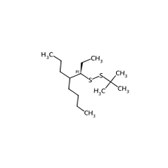 CCCCC(CCC)[C@@H](CC)SSC(C)(C)C